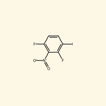 O=[N+]([O-])c1c(F)ccc(I)c1F